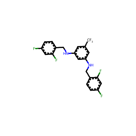 Fc1ccc(CNc2cc(NCc3ccc(F)cc3F)cc(C(F)(F)F)c2)c(F)c1